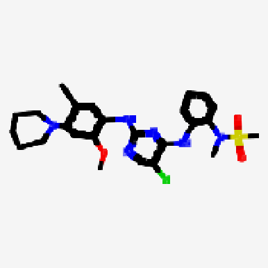 COc1cc(N2CC[CH]CC2)c(C)cc1Nc1ncc(Cl)c(Nc2ccccc2N(C)S(C)(=O)=O)n1